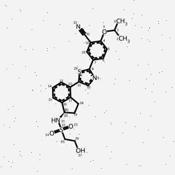 CC(C)Oc1ccc(-c2ncc(-c3cccc4c3CC[C@H]4NS(=O)(=O)CCO)s2)cc1C#N